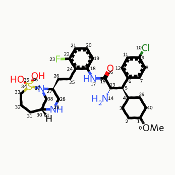 COC1CCC([C@H](c2ccc(Cl)cc2)[C@H](N)C(=O)Nc2cccc(F)c2CC[C@H]2CN[C@@H]3CCCS(O)(O)N2C3)CC1